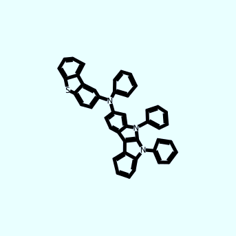 c1ccc(N(c2ccc3sc4ccccc4c3c2)c2ccc3c4c5ccccc5n(-c5ccccc5)c4n(-c4ccccc4)c3c2)cc1